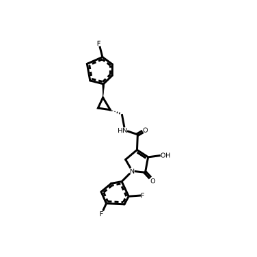 O=C(NC[C@@H]1C[C@H]1c1ccc(F)cc1)C1=C(O)C(=O)N(c2ccc(F)cc2F)C1